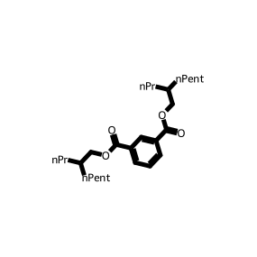 CCCCCC(CCC)COC(=O)c1cccc(C(=O)OCC(CCC)CCCCC)c1